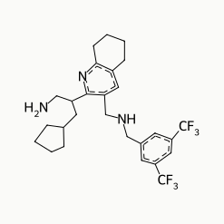 NCC(CC1CCCC1)c1nc2c(cc1CNCc1cc(C(F)(F)F)cc(C(F)(F)F)c1)CCCC2